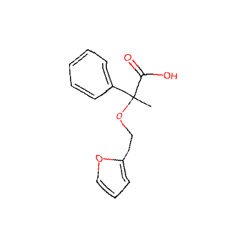 CC(OCc1ccco1)(C(=O)O)c1ccccc1